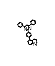 c1ccc(-c2cc(-c3ccccc3)nc(-c3ccc(-c4cccc5ncccc45)cc3)n2)cc1